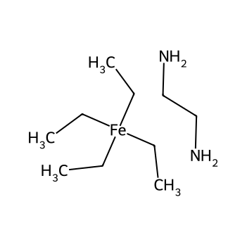 C[CH2][Fe]([CH2]C)([CH2]C)[CH2]C.NCCN